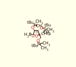 B[C@@H]1O[C@](C=O)(CO[Si](C)(C)C(C)(C)C)[C@@H](O[Si](C)(C)C(C)(C)C)C1O[Si](C)(C)C(C)(C)C